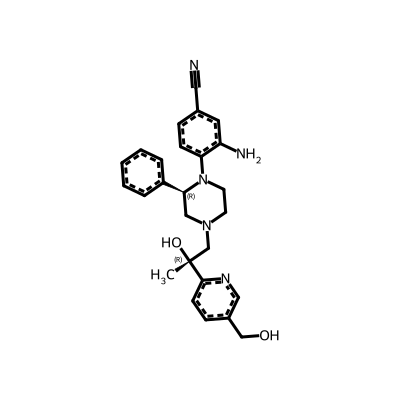 C[C@@](O)(CN1CCN(c2ccc(C#N)cc2N)[C@H](c2ccccc2)C1)c1ccc(CO)cn1